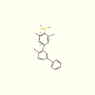 C\C=C(/C(C)=C\C(=C/CC)c1cc(-c2ccccc2)ccc1C)[SH](C)C